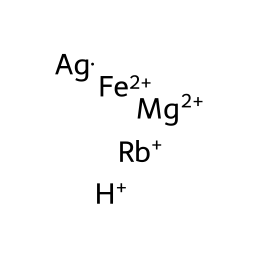 [Ag].[Fe+2].[H+].[Mg+2].[Rb+]